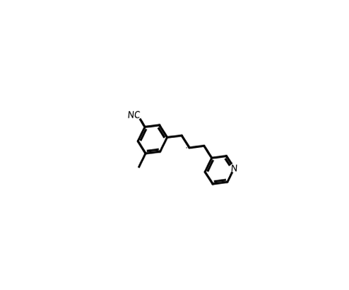 Cc1cc(C#N)cc(C[CH]Cc2cccnc2)c1